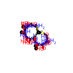 C[C@H]1NC(=O)CCSCc2cc3cc(c2)CSC[C@@H](NC(=O)CNC(=O)[C@H](Cc2cccc4ccccc24)NC(=O)[C@H](CCC(=O)O)NC(=O)[C@H](CC(N)=O)NC1=O)C(=O)N[C@@H](CCC(=O)O)C(=O)N[C@@H](CC(=O)O)C(=O)N[C@@H](Cc1ccccc1)C(=O)N[C@@H](Cc1ccc(O)cc1)C(=O)N[C@@H](CC(=O)O)C(=O)N[C@@H](C(C)(C)C)C(=O)N[C@H](C(N)=O)CSC3